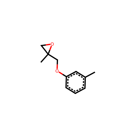 Cc1cccc(OCC2(C)CO2)c1